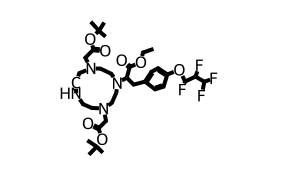 CCOC(=O)C(Cc1ccc(OC(F)C(F)C(F)F)cc1)N1CCN(CC(=O)OC(C)(C)C)CCNCCN(CC(=O)OC(C)(C)C)CC1